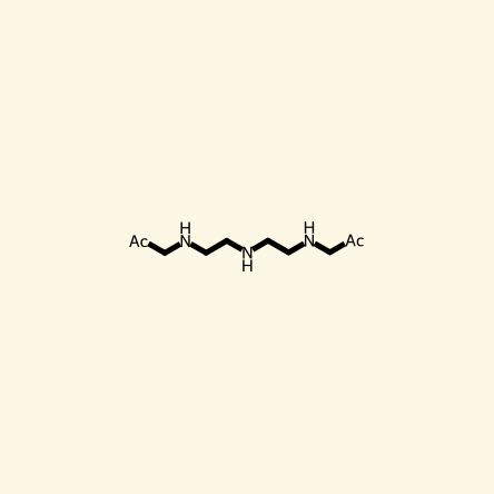 CC(=O)CNCCNCCNCC(C)=O